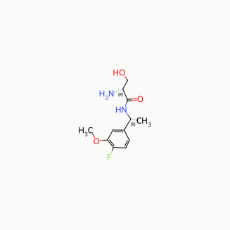 COc1cc([C@@H](C)NC(=O)[C@H](N)CO)ccc1F